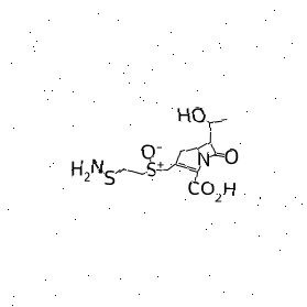 CC(O)C1C(=O)N2C(C(=O)O)=C(C[S+]([O-])CCSN)CC12